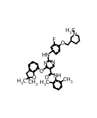 Cc1cccc(C)c1NC(=O)c1cnc(Nc2ccc(OCC3CCCN(C)C3)c(F)c2)nc1Oc1cccc2c1OC(C)(C)C2